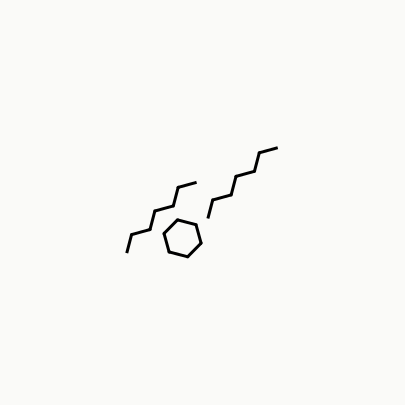 C1CCCCC1.CCCCCCC.CCCCCCC